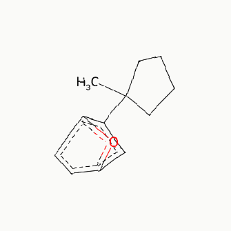 CC1(c2cc3ccc2o3)CCCC1